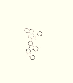 Cc1cc2c3cc(-c4nc(-c5ccccc5)c5ccc6ccccc6c5n4)ccc3c3ccc4oc5ccccc5c4c3c2cc1C